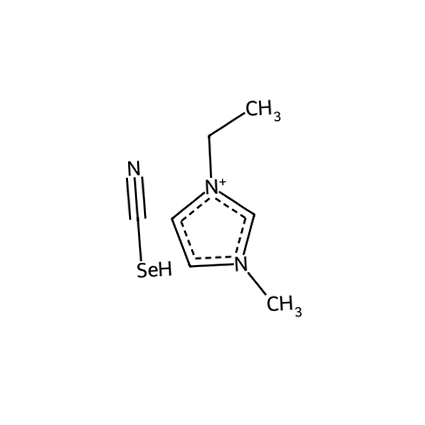 CC[n+]1ccn(C)c1.N#C[SeH]